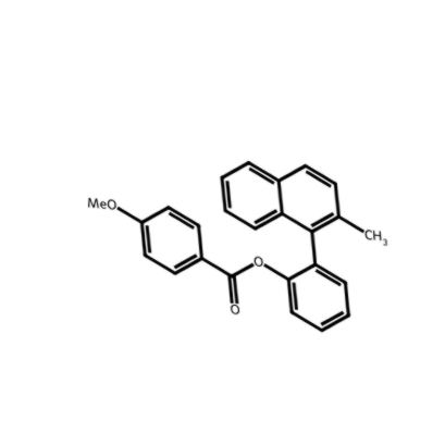 COc1ccc(C(=O)Oc2ccccc2-c2c(C)ccc3ccccc23)cc1